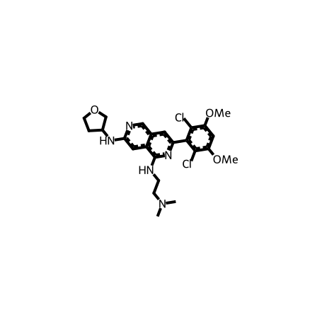 COc1cc(OC)c(Cl)c(-c2cc3cnc(NC4CCOC4)cc3c(NCCN(C)C)n2)c1Cl